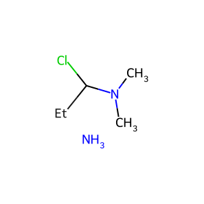 CCC(Cl)N(C)C.N